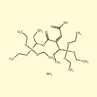 CCO[Si](OCC)(OCC)C(CC)OC(=O)C(=CC(=O)O)C(CC)[Si](OCC)(OCC)OCC.[SiH4]